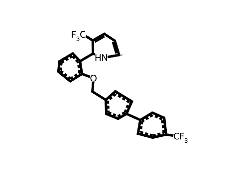 FC(F)(F)C1=CC=[C]NC1c1ccccc1OCc1ccc(-c2ccc(C(F)(F)F)cc2)cc1